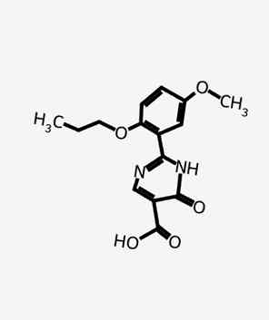 CCCOc1ccc(OC)cc1-c1ncc(C(=O)O)c(=O)[nH]1